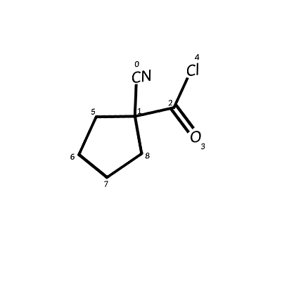 N#CC1(C(=O)Cl)CCCC1